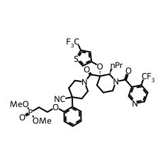 CCC[C@H]1N(C(=O)c2cnccc2C(F)(F)F)CCC[C@@]1(Oc1csc(C(F)(F)F)c1)C(=O)N1CCC(C#N)(c2ccccc2OCCP(=O)(OC)OC)CC1